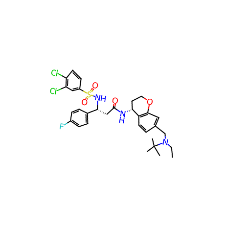 CCN(Cc1ccc2c(c1)OCC[C@H]2NC(=O)C[C@@H](NS(=O)(=O)c1ccc(Cl)c(Cl)c1)c1ccc(F)cc1)C(C)(C)C